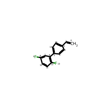 C=Cc1ccc(-c2cc(F)ccc2F)cc1